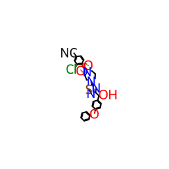 N#Cc1ccc(S(=O)(=O)N2CCCN(c3nc(C(O)c4ccc(Oc5ccccc5)cc4)ns3)CC2)c(Cl)c1